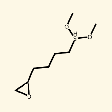 CO[SiH](CCCCC1CO1)OC